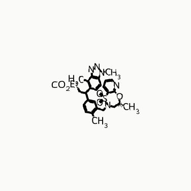 CCOC(=O)CC(c1ccc(C)c(CN2C[C@@H](C)Oc3ncccc3S2(=O)=O)c1)c1ccc2c(nnn2C)c1C